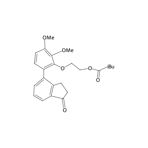 CCC(C)C(=O)OCCOc1c(-c2cccc3c2CCC3=O)ccc(OC)c1OC